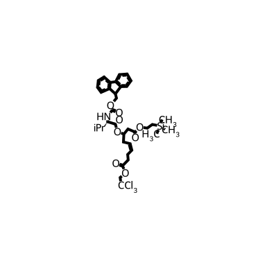 CC(C)[C@H](NC(=O)OCC1c2ccccc2-c2ccccc21)C(=O)OC(C/C=C\CCC(=O)OCC(Cl)(Cl)Cl)CC(=O)OCC[Si](C)(C)C